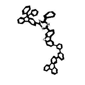 C1=CC2c3ccccc3-c3ccc(-c4cccc(-c5cccc(-c6ccc7oc8cc(-c9nc(-c%10ccccc%10)nc(-c%10ccc%11c(c%10)C(c%10ccccc%10)(c%10ccccc%10)c%10ccccc%10-%11)n9)ccc8c7c6)c5)c4)cc3C2C=C1